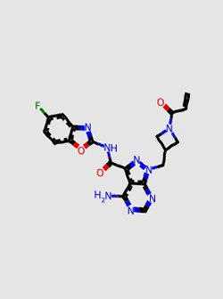 C=CC(=O)N1CC(Cn2nc(C(=O)Nc3nc4cc(F)ccc4o3)c3c(N)ncnc32)C1